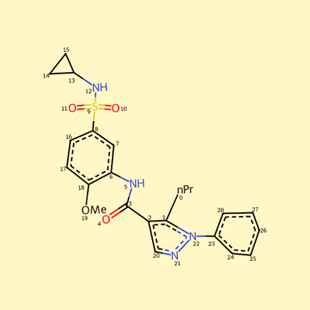 CCCc1c(C(=O)Nc2cc(S(=O)(=O)NC3CC3)ccc2OC)cnn1-c1ccccc1